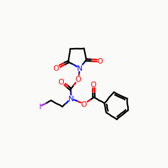 O=C(ON(CCI)C(=O)ON1C(=O)CCC1=O)c1ccccc1